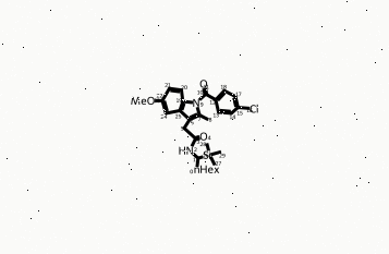 CCCCCCC(NC(=O)Cc1c(C)n(C(=O)c2ccc(Cl)cc2)c2ccc(OC)cc12)[Si](C)(C)C